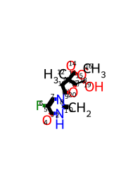 C=C1NC(=O)C(F)=CN1[C@H]1C[C@](C)(C(=O)OC)[C@@H](CO)O1